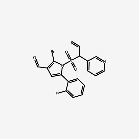 C=CC(c1cccnc1)S(=O)(=O)n1c(-c2ccccc2F)cc(C=O)c1Br